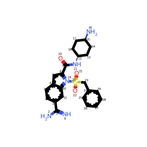 N=C(N)c1ccc2cc(C(=O)N[C@H]3CC[C@H](N)CC3)n(S(=O)(=O)Cc3ccccc3)c2c1